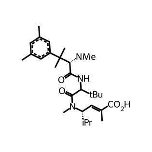 CN[C@H](C(=O)NC(C(=O)N(C)[C@H](/C=C(\C)C(=O)O)C(C)C)C(C)(C)C)C(C)(C)c1cc(C)cc(C)c1